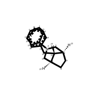 c1ccc(N2C[C@H]3CC[C@@H](C2)[C@@H]3Cc2cccnc2)nc1